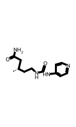 C[C@@H]([CH]CNC(=O)Nc1ccncc1)CC(N)=O